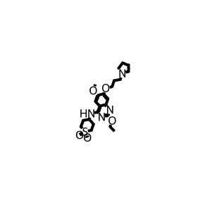 CCOc1nc(NC2CCS(=O)(=O)CC2)c2cc(OC)c(OCCCN3CCCC3)cc2n1